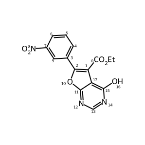 CCOC(=O)c1c(-c2cccc([N+](=O)[O-])c2)oc2ncnc(O)c12